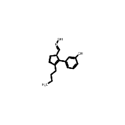 CCCCC1=C(c2cccc(O)c2)C(C=NO)CC1